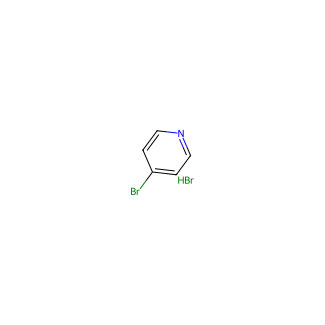 Br.Brc1ccncc1